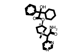 C[N+]1(C(C(N)=O)c2ccncn2)CC[C@@H](OC(=O)C(O)(c2ccccc2)C2CCCCC2)C1